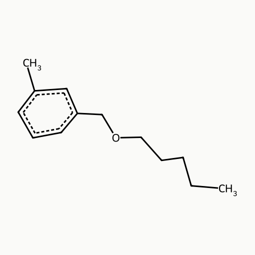 CCCCCOCc1cccc(C)c1